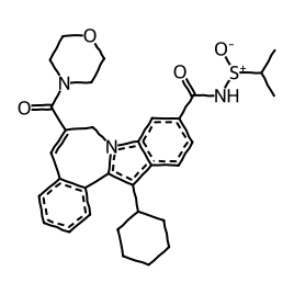 CC(C)[S+]([O-])NC(=O)c1ccc2c(C3CCCCC3)c3n(c2c1)CC(C(=O)N1CCOCC1)=Cc1ccccc1-3